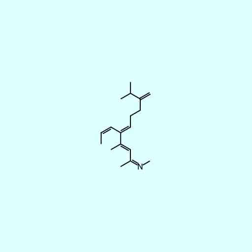 C=C(CC/C=C(\C=C/C)C(/C)=C/C(C)=N\C)C(C)C